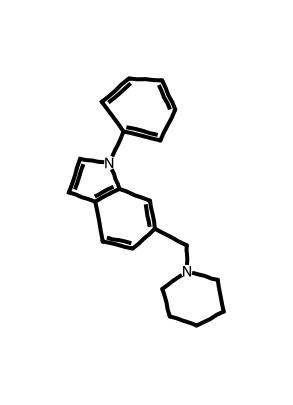 c1ccc(-n2ccc3ccc(CN4CCCCC4)cc32)cc1